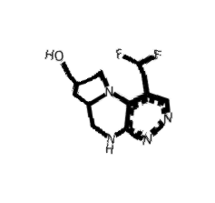 OC1CC2CNc3nncc(C(F)F)c3N2C1